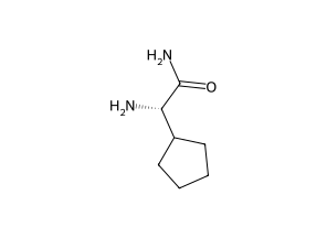 NC(=O)[C@@H](N)C1CCCC1